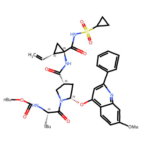 C=C[C@@H]1C[C@]1(NC(=O)[C@@H]1C[C@H](Oc2cc(-c3ccccc3)nc3cc(OC)ccc23)N(C(=O)[C@@H](NC(=O)OCCCC)C(C)(C)C)C1)C(=O)NS(=O)(=O)C1CC1